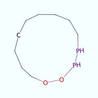 C1CCCCOOPPCCCC1